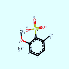 CCc1cccc(OC(F)(F)F)c1S(=O)(=O)[O-].[Na+]